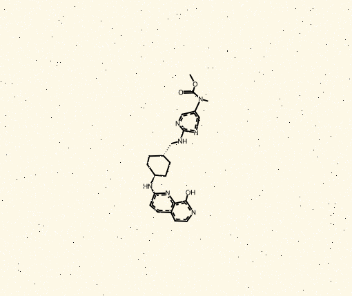 COC(=O)N(C)c1cnc(NC[C@H]2CC[C@H](Nc3ccc4ccnc(O)c4n3)CC2)nc1